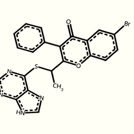 CC(Sc1ncnc2[nH]cnc12)c1oc2ccc(Br)cc2c(=O)c1-c1ccccc1